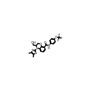 Cc1nc(N2c3cccc(C(=O)Nc4ccc(OC(F)(F)F)cc4)c3OCC2CO)sc1C